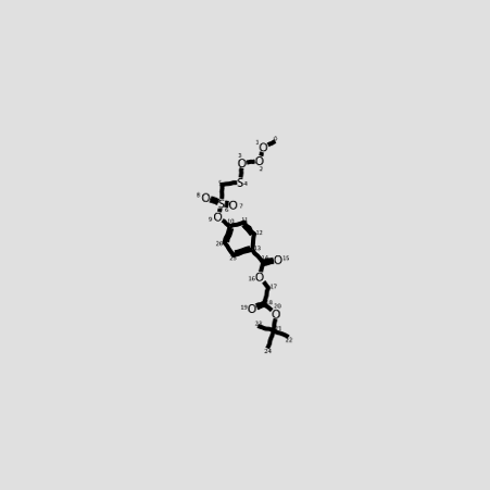 COOOSCS(=O)(=O)Oc1ccc(C(=O)OCC(=O)OC(C)(C)C)cc1